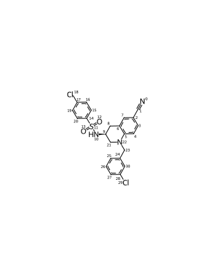 N#Cc1ccc2c(c1)C[C@H](NS(=O)(=O)c1ccc(Cl)cc1)CN2Cc1cccc(Cl)c1